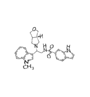 Cn1cc(C(CNS(=O)(=O)c2ccc3cc[nH]c3c2)N2CC3COC[C@@H]3C2)c2ccccc21